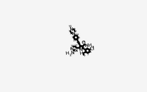 CCc1ccc(Cl)cc1-c1[nH]c(-c2ccnc(N)n2)c(C#Cc2ccc(N3CCN(C)CC3)cc2)c1C(N)=O